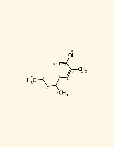 CCCC(C)CC=C(C)C(=O)O